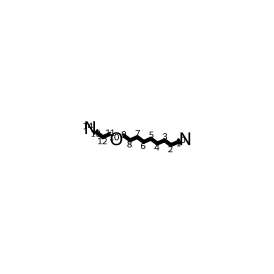 N#CCCCCCCCCOCCC#N